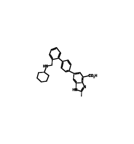 Cc1nc2c(C(=O)O)cc(-c3ccc(-c4ccccc4CNC4CCCCC4)cc3)cc2[nH]1